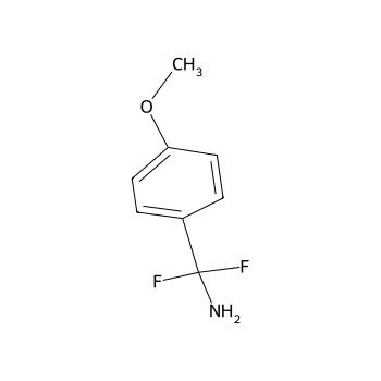 COc1ccc(C(N)(F)F)cc1